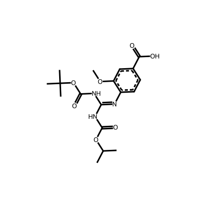 COc1cc(C(=O)O)ccc1N=C(NC(=O)OC(C)C)NC(=O)OC(C)(C)C